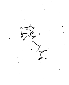 C=C(C)C(=O)OCCC(=O)C12CC3CC(CC(C3)C1)C2